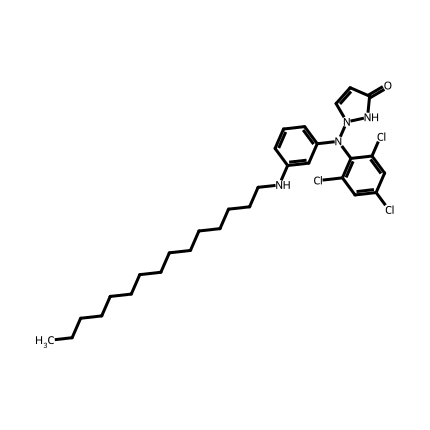 CCCCCCCCCCCCCCCNc1cccc(N(c2c(Cl)cc(Cl)cc2Cl)n2ccc(=O)[nH]2)c1